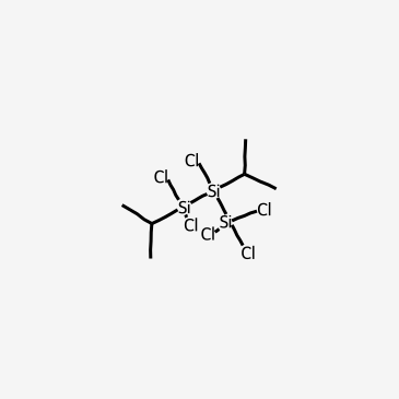 CC(C)[Si](Cl)(Cl)[Si](Cl)(C(C)C)[Si](Cl)(Cl)Cl